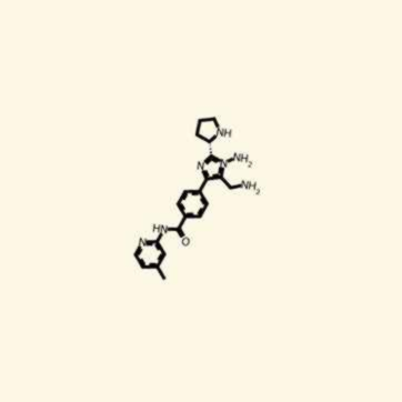 Cc1ccnc(NC(=O)c2ccc(-c3nc([C@@H]4CCCN4)n(N)c3CN)cc2)c1